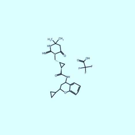 CC1(C)CC(=O)N(C[C@@H]2C[C@H]2C(=O)NC2CC(C3CC3)Oc3ccccc32)C(=N)N1.O=C(O)C(F)(F)F